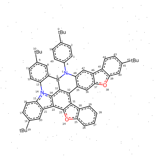 CC(C)(C)c1ccc(N2B3c4cc(C(C)(C)C)ccc4-n4c5ccc(C(C)(C)C)cc5c5c6oc7ccccc7c6c(c3c54)-c3cc4oc5cc(C(C)(C)C)ccc5c4cc32)cc1